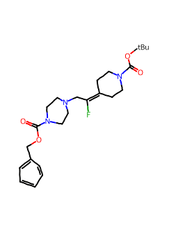 CC(C)(C)OC(=O)N1CCC(=C(F)CN2CCN(C(=O)OCc3ccccc3)CC2)CC1